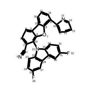 N#Cc1ccc2c(oc3c(-c4ccccn4)cccc32)c1-n1c2ccc(F)cc2c2cc(F)ccc21